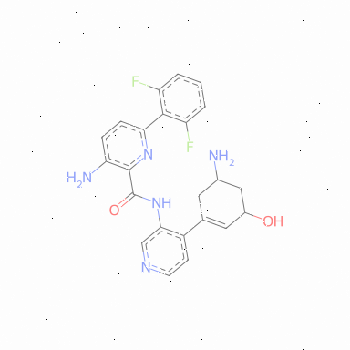 Nc1ccc(-c2c(F)cccc2F)nc1C(=O)Nc1cnccc1C1=CC(O)CC(N)C1